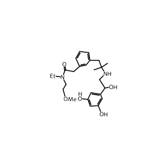 CCN(CCOC)C(=O)Cc1cccc(CC(C)(C)NCC(O)c2cc(O)cc(O)c2)c1